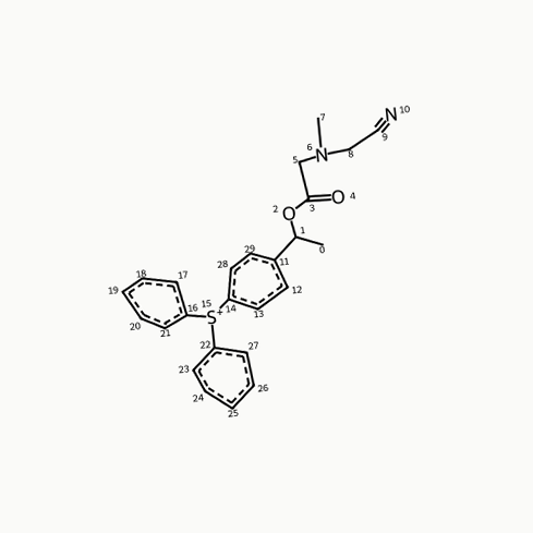 CC(OC(=O)CN(C)CC#N)c1ccc([S+](c2ccccc2)c2ccccc2)cc1